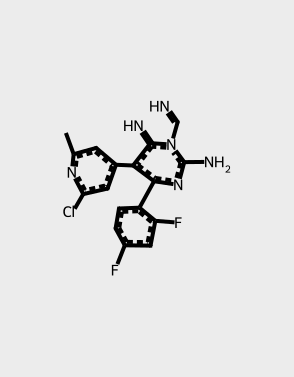 Cc1cc(-c2c(-c3ccc(F)cc3F)nc(N)n(C=N)c2=N)cc(Cl)n1